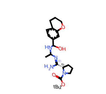 CC(/N=C(\N)[C@@H]1CCCN1C(=O)OC(C)(C)C)NC(O)c1ccc2c(c1)OCCC2